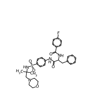 CC(C)(CN1CCOCC1)NS(=O)(=O)c1ccc(NC(=O)C(Cc2ccccc2)NC(=O)c2ccc(F)cc2)cc1